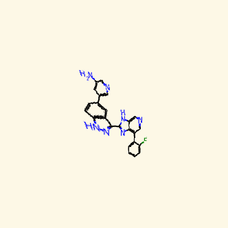 Nc1cncc(-c2ccc3[nH]nc(-c4nc5c(-c6ccccc6F)cncc5[nH]4)c3c2)c1